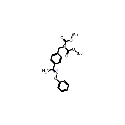 CC(C)(C)OC(=O)N(Cc1ccc(/C(N)=N/Oc2ccccc2)cc1)C(=O)OC(C)(C)C